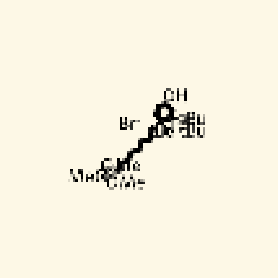 CO[Si](CCCCCCCCOc1ccc(O)cc1[P+](C(C)(C)C)(C(C)(C)C)C(C)(C)C)(OC)OC.[Br-]